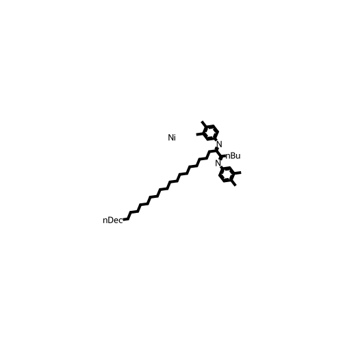 CCCCCCCCCCCCCCCCCCCCCCCCCCCCC(=N\c1ccc(C)c(C)c1)/C(CCCC)=N/c1ccc(C)c(C)c1.[Ni]